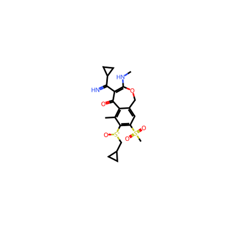 CNC1=C(C(=N)C2CC2)C(=O)c2c(cc(S(C)(=O)=O)c([S+]([O-])CC3CC3)c2C)CO1